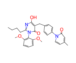 CCCCc1nc(O)c(Cc2ccc(-n3ccc(C)cc3=O)cc2)c(=O)n1-c1c(OC)cccc1OC